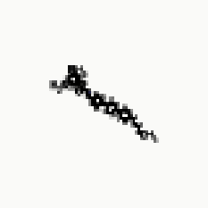 CCCCCC1CCC(C2CCC(c3ccc(/C=C/C(=O)Oc4cc(N)cc(N)c4)cc3)CC2)CC1